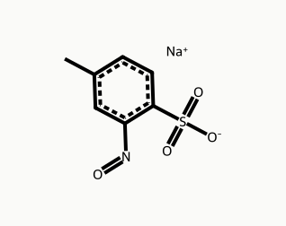 Cc1ccc(S(=O)(=O)[O-])c(N=O)c1.[Na+]